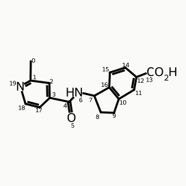 Cc1cc(C(=O)NC2CCc3cc(C(=O)O)ccc32)ccn1